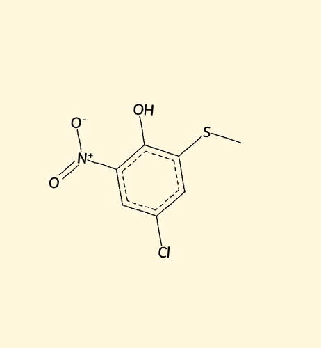 CSc1cc(Cl)cc([N+](=O)[O-])c1O